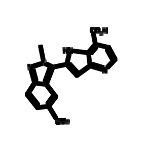 COc1ccc2nn(C)c(-c3cc4nccc(C(=O)O)c4[nH]3)c2c1